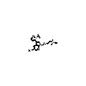 C#C[Si](C)(C)CCOCn1cc(-c2ccnn2C(C)C)c2cc(Br)cnc21